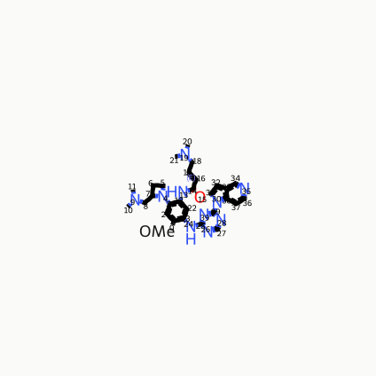 COc1cc(N2CCC2CN(C)C)c(NC(=O)/C=C/CN(C)C)cc1Nc1ncnc(-n2ccc3cnccc32)n1